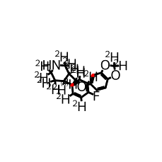 [2H]c1c([2H])c([C@]2([2H])C([2H])([2H])C([2H])([2H])NC([2H])([2H])C2([2H])C([2H])([2H])Oc2ccc3c(c2)OC([2H])([2H])O3)c([2H])c([2H])c1F